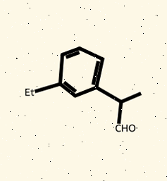 CCc1cccc(C(C)[C]=O)c1